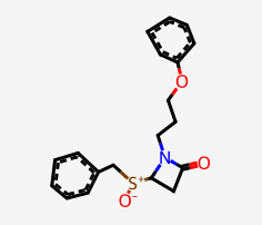 O=C1CC([S+]([O-])Cc2ccccc2)N1CCCOc1ccccc1